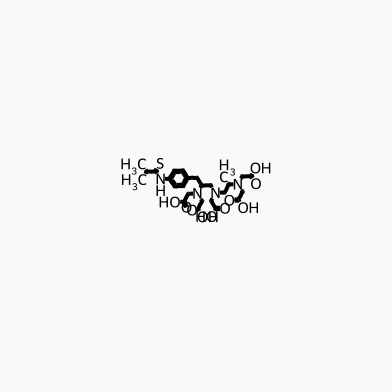 CC(C)C(=S)Nc1ccc(CC(CN(CC(=O)O)CC(C)N(CC(=O)O)CC(=O)O)N(CC(=O)O)CC(=O)O)cc1